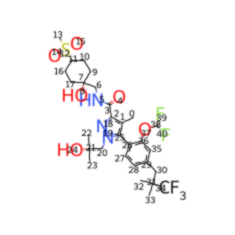 Cc1c(C(=O)NCC2(O)CCC(S(C)(=O)=O)CC2)nn(CC(C)(C)O)c1-c1ccc(CC(C)(C)C(F)(F)F)cc1OC(F)F